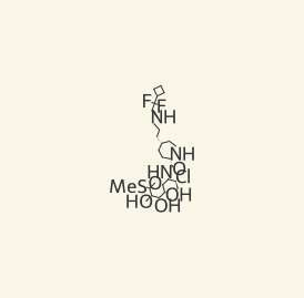 CS[C@H]1O[C@H]([C@H](NC(=O)[C@@H]2CC[C@H](CCCNCC(F)(F)C3CCC3)CCN2)[C@H](C)Cl)[C@H](O)[C@H](O)[C@H]1O